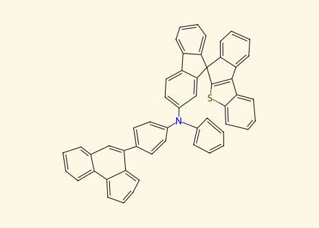 c1ccc(N(c2ccc(-c3cc4ccccc4c4ccccc34)cc2)c2ccc3c(c2)C2(c4ccccc4-3)c3ccccc3-c3c2sc2ccccc32)cc1